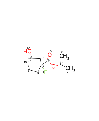 CC(C)OC(=O)C1(F)CCCC(O)C1